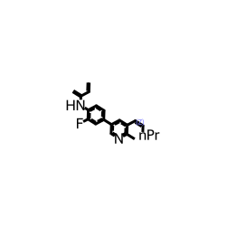 C=CC(=C)Nc1ccc(-c2cnc(C)c(/C=C\CCC)c2)cc1F